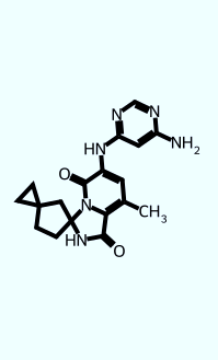 Cc1cc(Nc2cc(N)ncn2)c(=O)n2c1C(=O)NC21CCC2(CC2)C1